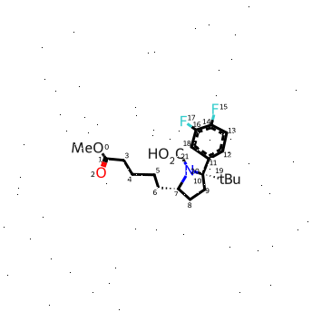 COC(=O)CCCC[C@H]1CC[C@@](c2ccc(F)c(F)c2)(C(C)(C)C)N1C(=O)O